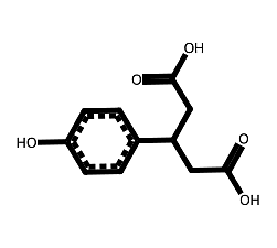 O=C(O)CC(CC(=O)O)c1ccc(O)cc1